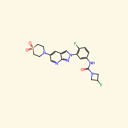 O=C(Nc1ccc(F)c(-n2cc3cc(N4CCS(=O)(=O)CC4)cnc3n2)c1)N1CC(F)C1